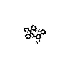 CC(C)Cc1cc(-c2cc3c(c(N(c4ccccc4)C4C=CC=CN4)n2)CCCC3)cc(-c2ccccc2O)c1